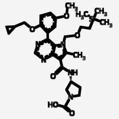 COc1ccc(OCC2CC2)c(-c2ncnc3c(C(=O)N[C@@H]4CCN(C(=O)O)C4)c(C)n(COCC[Si](C)(C)C)c23)c1